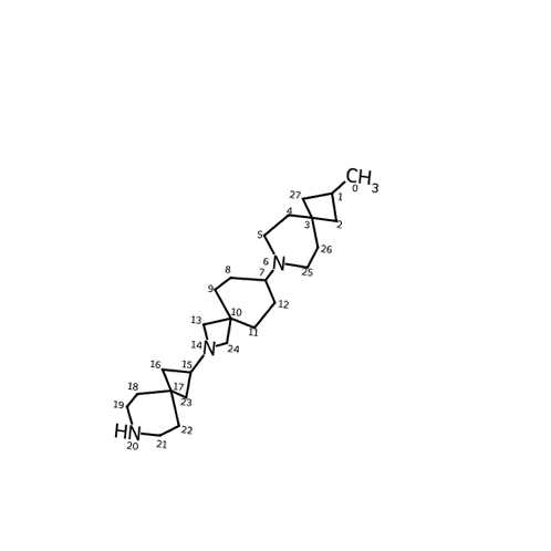 CC1CC2(CCN(C3CCC4(CC3)CN(C3CC5(CCNCC5)C3)C4)CC2)C1